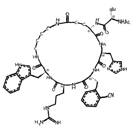 CCCC[C@H](NC(C)=O)C(=O)N[C@H]1CCC(=O)NCCCCNC(=O)[C@H](Cc2c[nH]c3ccccc23)NC(=O)[C@H](CCCNC(=N)N)NC(=O)[C@@H](Cc2ccccc2C#N)NC(=O)[C@H](Cc2c[nH]cn2)NC1=O